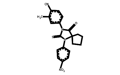 [C-]#[N+]c1ccc(N2C(=O)C3(CCCC3)N(c3ccc([N+](=O)[O-])cc3)C2=S)cc1C